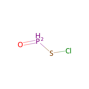 O=[PH2]SCl